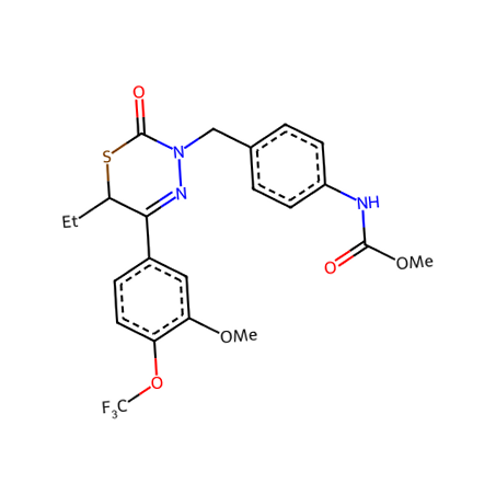 CCC1SC(=O)N(Cc2ccc(NC(=O)OC)cc2)N=C1c1ccc(OC(F)(F)F)c(OC)c1